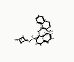 COc1ccc2ccccc2c1Cc1c(OCC2CNC2)ccc2ccccc12